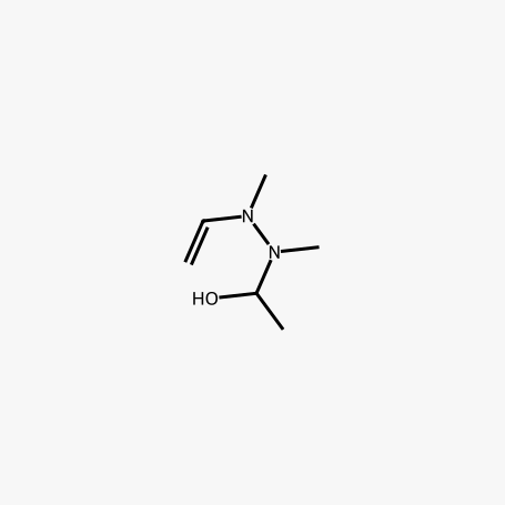 C=CN(C)N(C)C(C)O